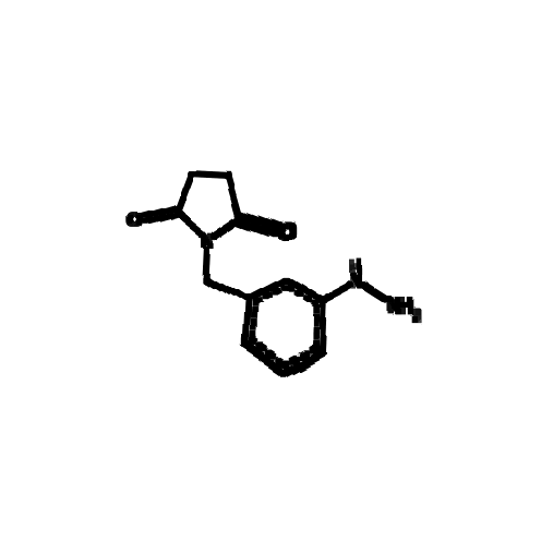 NNc1cccc(CN2C(=O)CCC2=O)c1